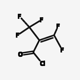 O=C(Cl)C(=C(F)F)C(F)(F)F